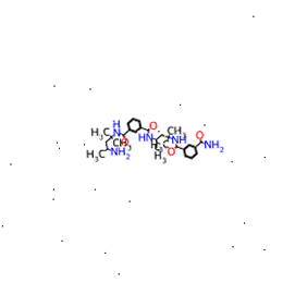 CC(N)CC(C)(C)NC(=O)c1cccc(C(=O)NC(C)CC(C)(C)NC(=O)c2cccc(C(N)=O)c2)c1